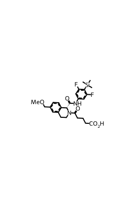 COCc1ccc2c(c1)CCN(C(=O)CCCC(=O)O)[C@H]2C(=O)Nc1cc(F)c([Si](C)(C)C)c(F)c1